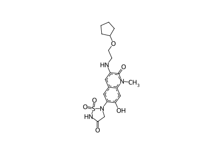 Cn1c(=O)c(NCCOC2CCCC2)cc2cc(N3CC(=O)NS3(=O)=O)c(O)cc21